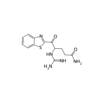 N=C(N)NC(CCC(N)=O)C(=O)c1nc2ccccc2s1